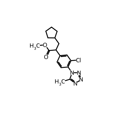 COC(=O)C(CC1CCCC1)c1ccc(-n2nnnc2C)c(Cl)c1